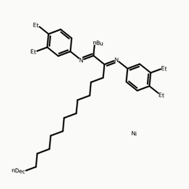 CCCCCCCCCCCCCCCCCCCCCC(=N\c1ccc(CC)c(CC)c1)/C(CCCC)=N/c1ccc(CC)c(CC)c1.[Ni]